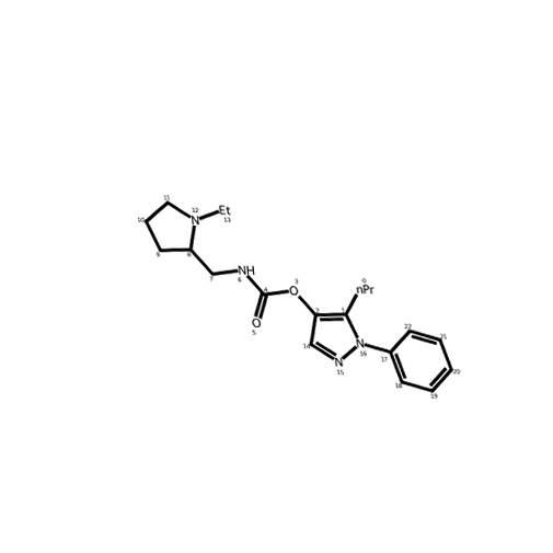 CCCc1c(OC(=O)NCC2CCCN2CC)cnn1-c1ccccc1